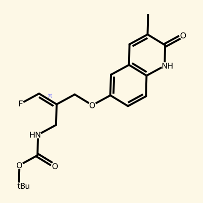 Cc1cc2cc(OC/C(=C/F)CNC(=O)OC(C)(C)C)ccc2[nH]c1=O